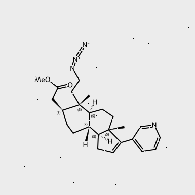 COC(=O)C[C@@H]1CC[C@@H]2[C@H](CC[C@]3(C)C(c4cccnc4)=CC[C@@H]23)[C@@]1(C)CCN=[N+]=[N-]